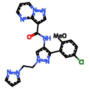 COc1ccc(Cl)cc1-c1nn(CCn2cccn2)cc1NC(=O)c1cnn2cccnc12